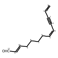 C=CC#C/C=C\CCCCC=CC=O